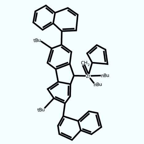 [CH2]=[Zr]([CH2]CCC)([CH2]CCC)([CH]1C=CC=C1)[CH]1c2cc(-c3cccc4ccccc34)c(C(C)(C)C)cc2-c2cc(C(C)(C)C)c(-c3cccc4ccccc34)cc21